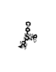 COCC1(CN(C)c2cc(-c3cnc(C4CC4)c(C(F)(F)F)c3)nc3nc(-c4ccc(N5CCCCC5)cc4)[nH]c23)CCCC1